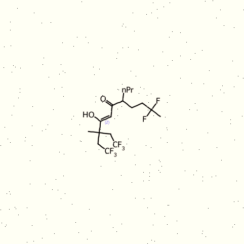 CCCC(CCC(C)(F)F)C(=O)/C=C(\O)C(C)(CC(F)(F)F)CC(F)(F)F